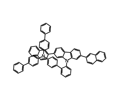 c1ccc(-c2ccc(N(c3ccc(-c4ccccc4)cc3)c3ccc(-c4ccccc4-n4c5cc(-c6ccc7ccccc7c6)ccc5c5ccc(-c6ccc7ccccc7c6)cc54)cc3)cc2)cc1